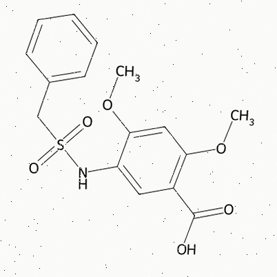 COc1cc(OC)c(C(=O)O)cc1NS(=O)(=O)Cc1ccccc1